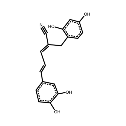 N#C/C(=C/C=C/c1ccc(O)c(O)c1)Cc1ccc(O)cc1O